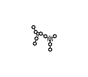 c1ccc(-c2ccc(-c3nc(-c4ccccc4)nc(-c4ccc(-c5ccc6c7cc(-c8ccccc8)ccc7n(-c7ccc(-c8ccccc8)cc7)c6c5)cc4)n3)cc2)cc1